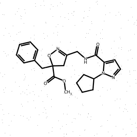 COC(=O)C1(Cc2ccccc2)CC(CNC(=O)c2ccnn2C2CCCC2)=NO1